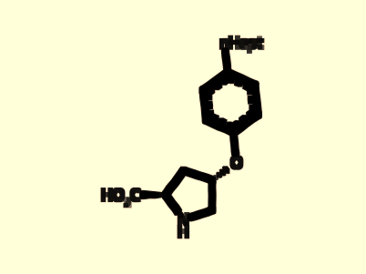 CCCCCCCc1ccc(O[C@@H]2CN[C@@H](C(=O)O)C2)cc1